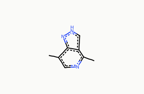 Cc1ncc(C)c2n[nH]cc12